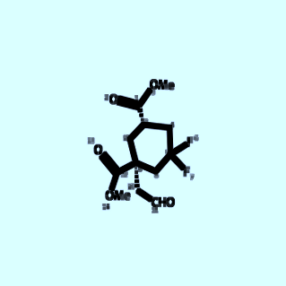 COC(=O)[C@@H]1CC(F)(F)C[C@@](CC=O)(C(=O)OC)C1